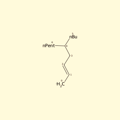 [CH2]C=CCC(CCCC)CCCC[CH2]